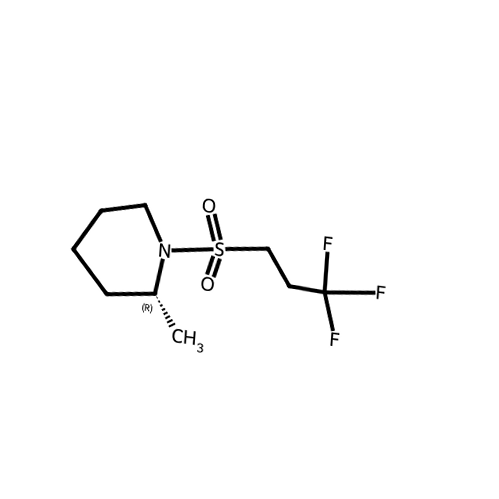 C[C@@H]1CCCCN1S(=O)(=O)CCC(F)(F)F